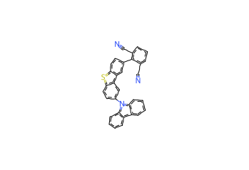 N#Cc1cccc(C#N)c1-c1ccc2sc3ccc(-n4c5ccccc5c5ccccc54)cc3c2c1